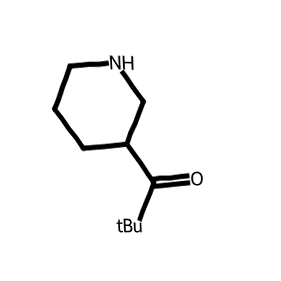 CC(C)(C)C(=O)C1CCCNC1